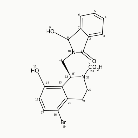 O=C1c2ccccc2C(O)N1C[C@@H]1c2c(O)ccc(Br)c2CCN1C(=O)O